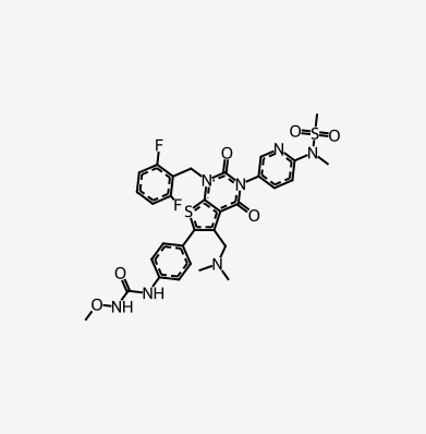 CONC(=O)Nc1ccc(-c2sc3c(c2CN(C)C)c(=O)n(-c2ccc(N(C)S(C)(=O)=O)nc2)c(=O)n3Cc2c(F)cccc2F)cc1